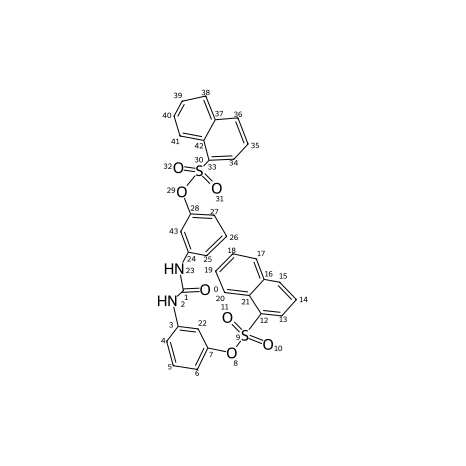 O=C(Nc1cccc(OS(=O)(=O)c2cccc3ccccc23)c1)Nc1cccc(OS(=O)(=O)c2cccc3ccccc23)c1